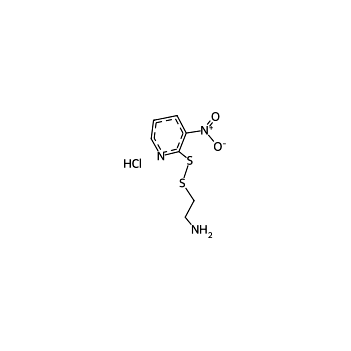 Cl.NCCSSc1ncccc1[N+](=O)[O-]